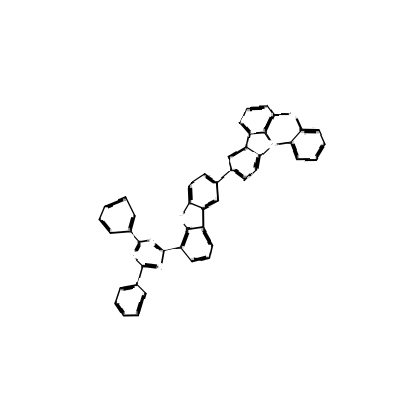 c1ccc(-c2nc(-c3ccccc3)nc(-c3cccc4c3oc3ccc(-c5ccc6c(c5)c5cccc7c5n6-c5ccccc5O7)cc34)n2)cc1